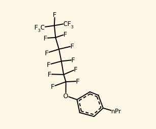 CCCc1ccc(OC(F)(F)C(F)(F)C(F)(F)C(F)(F)C(F)(F)C(F)(C(F)(F)F)C(F)(F)F)cc1